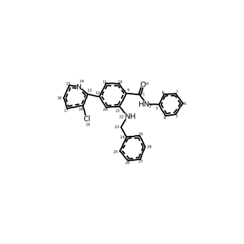 O=C(Nc1ccccc1)c1ccc(-c2ncccc2Cl)cc1NCc1ccccc1